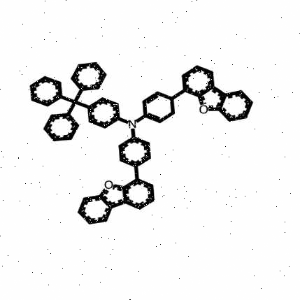 C1=CC(c2cccc3c2oc2ccccc23)CC=C1N(c1ccc(-c2cccc3c2oc2ccccc23)cc1)c1ccc(C(c2ccccc2)(c2ccccc2)c2ccccc2)cc1